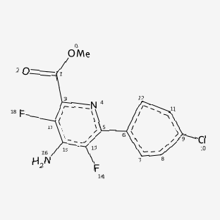 COC(=O)c1nc(-c2ccc(Cl)cc2)c(F)c(N)c1F